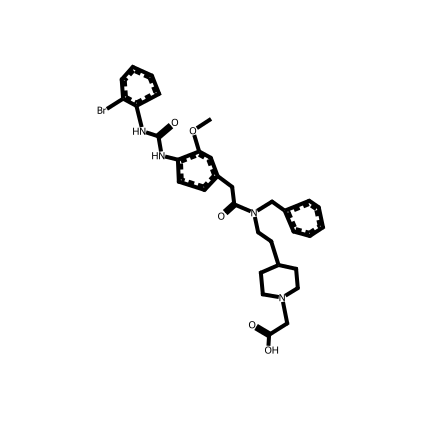 COc1cc(CC(=O)N(CCC2CCN(CC(=O)O)CC2)Cc2ccccc2)ccc1NC(=O)Nc1ccccc1Br